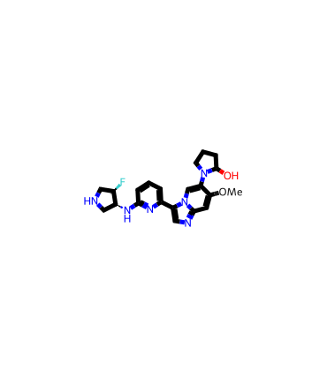 COc1cc2ncc(-c3cccc(N[C@@H]4CNC[C@H]4F)n3)n2cc1N1CCCC1O